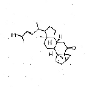 CC(C)C(C)/C=C/[C@@H](C)[C@H]1CC[C@H]2[C@@H]3CC(=O)C45CC4CC[C@]5(C)[C@H]3CC[C@]12C